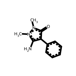 Cn1c(N)c(-c2ccccc2)c(=O)n1C